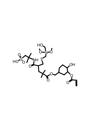 C=CC(=O)OC1CC(COC(=O)C(C)(C)CC(CSC[Si](CO)(OC)OC)C(=O)NC(C)(C)CS(=O)(=O)O)CCC1O